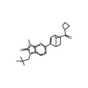 Cn1c(=O)n(CC(C)(C)C)c2ccc(C3=CC4CCC3CN4C(=O)C3CCC3)nc21